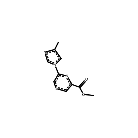 COC(=O)c1cncc(-n2cnc(C)c2)n1